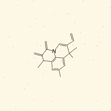 C=CC1=CN2C(=C)C(=C)C(C)c3cc(C)cc(c32)C1(C)C